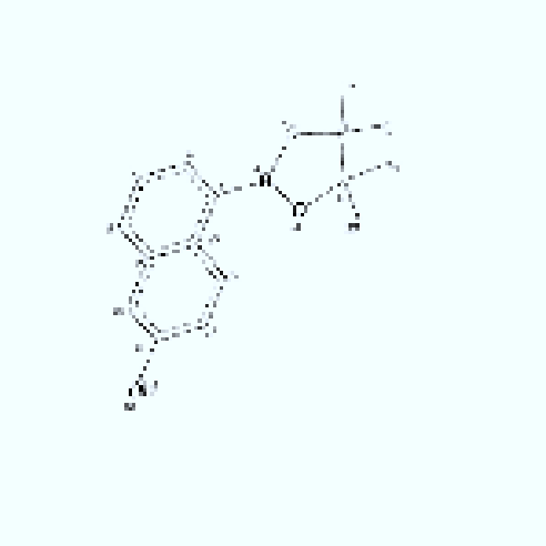 CC1(C)OB(c2cccc3cc(O)ccc23)OC1(C)C